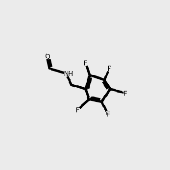 O=CNCc1c(F)c(F)c(F)c(F)c1F